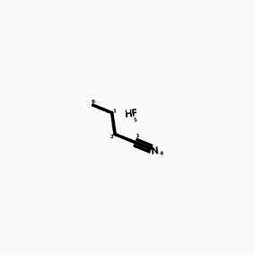 CCCC#N.F